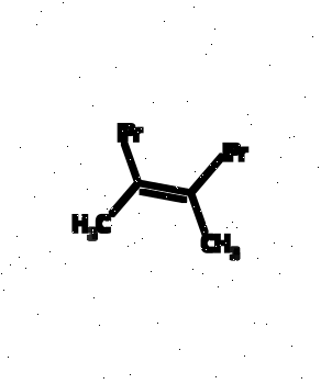 C/C(=C(\C)C(C)C)C(C)C